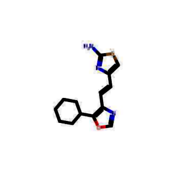 Nc1nc(C=Cc2ncoc2C2CCCCC2)cs1